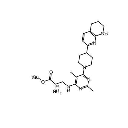 Cc1nc(NC[C@H](N)C(=O)OC(C)(C)C)c(C)c(N2CCC(c3ccc4c(n3)NCCC4)CC2)n1